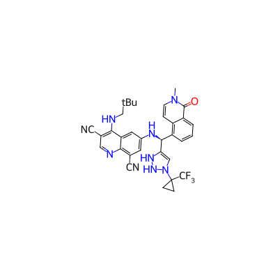 Cn1ccc2c([C@H](Nc3cc(C#N)c4ncc(C#N)c(NCC(C)(C)C)c4c3)C3=CN(C4(C(F)(F)F)CC4)NN3)cccc2c1=O